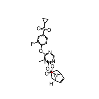 Cc1c(Oc2ccc(S(=O)(=O)C3CC3)cc2F)ncnc1O[C@@H]1CC2C=C[C@@H](C1)N2C(=O)OC(C)C